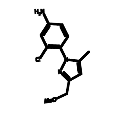 COCc1cc(C)n(-c2ccc(N)cc2Cl)n1